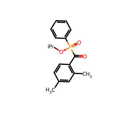 Cc1ccc(C(=O)P(=O)(OC(C)C)c2ccccc2)c(C)c1